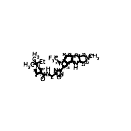 CCC(C)(C)n1ccc(C(=O)NCc2nc(-c3cc4c(N[C@@H]5CCN(C)C[C@@H]5F)cccc4n3CC(F)(F)F)no2)c1